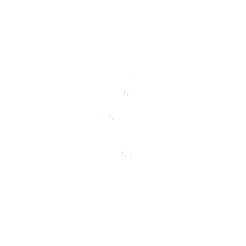 CC(C(=O)NCC(F)(F)F)c1cc(F)c(NC(=O)OC(C)(C)C)cc1N